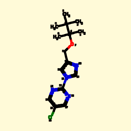 CC(C)(C)[Si](C)(C)OCc1cn(-c2ncc(Cl)cn2)cn1